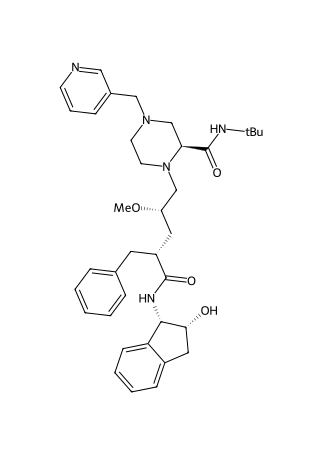 CO[C@@H](C[C@@H](Cc1ccccc1)C(=O)N[C@H]1c2ccccc2C[C@H]1O)CN1CCN(Cc2cccnc2)C[C@H]1C(=O)NC(C)(C)C